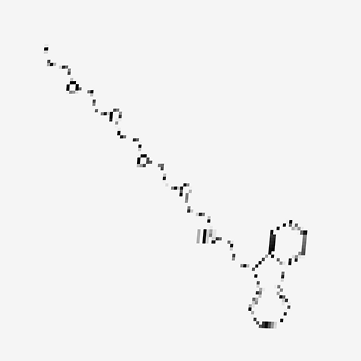 CCCOCCOCCOCCOCCNCCC1c2ccccc2-c2ccccc21